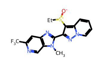 CC[S+]([O-])c1c(-c2nc3cc(C(F)(F)F)ncc3n2C)nn2ccccc12